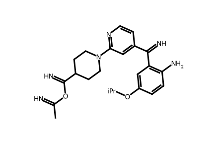 CC(=N)OC(=N)C1CCN(c2cc(C(=N)c3cc(OC(C)C)ccc3N)ccn2)CC1